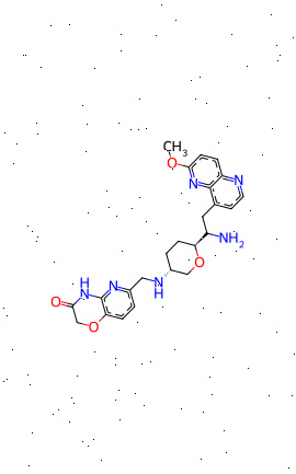 COc1ccc2nccc(CC(N)[C@@H]3CC[C@@H](NCc4ccc5c(n4)NC(=O)CO5)CO3)c2n1